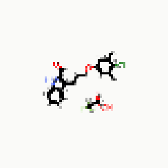 Cc1cc(OCCCc2c(C=O)[nH]c3ccccc23)cc(C)c1Cl.O=C(O)C(F)(F)F